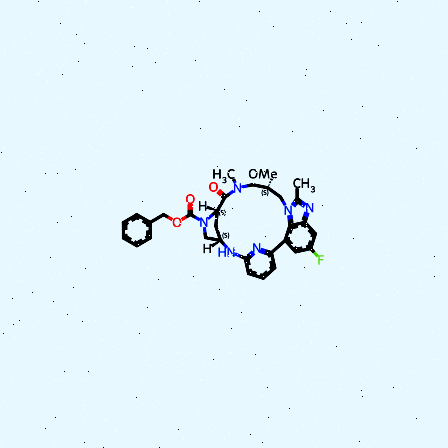 CO[C@H]1CN(C)C(=O)[C@@H]2C[C@@H](CN2C(=O)OCc2ccccc2)Nc2cccc(n2)-c2cc(F)cc3nc(C)n(c23)C1